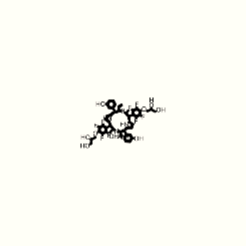 C=Cc1nc(C)c(-c2c(F)c(F)c(OCC(O)CO)c(F)c2F)c2ccc([nH]2)c(-c2cccc(O)c2)c([C@H](C)O)nc(CO)c(-c2c(F)c(F)c(OCC(O)CO)c(F)c2F)c2ccc([nH]2)c1-c1cccc(O)c1